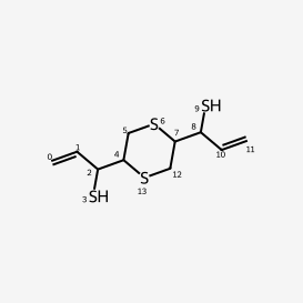 C=CC(S)C1CSC(C(S)C=C)CS1